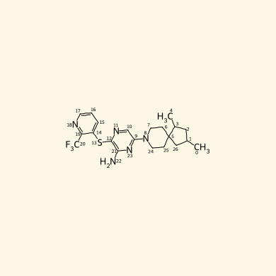 CC1CC(C)C2(CCN(c3cnc(Sc4cccnc4C(F)(F)F)c(N)n3)CC2)C1